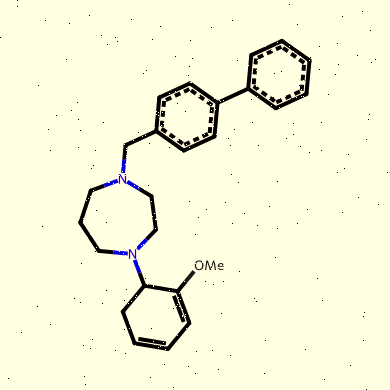 COC1=CC=CCC1N1CCCN(Cc2ccc(-c3ccccc3)cc2)CC1